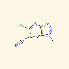 Cn1ncc2nc(Cl)c(C#N)cc21